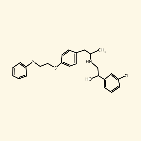 CC(Cc1ccc(SCCSc2ccccc2)cc1)NCC(O)c1cccc(Cl)c1